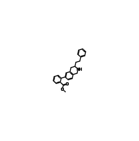 COC(=O)c1ccccc1-c1ccc2c(c1)CC(CCc1ccccc1)NC2